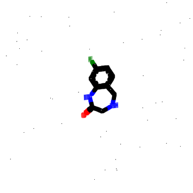 O=C1CNCc2ccc(F)cc2N1